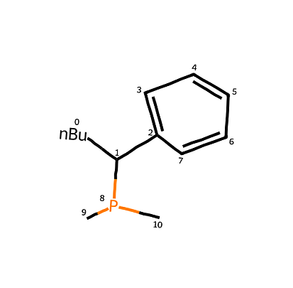 CCCCC(c1ccccc1)P(C)C